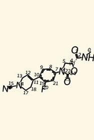 CNC(=O)[C@H]1CN(c2ccc(C3=CCN(C#N)CC3)c(F)c2)C(=O)O1